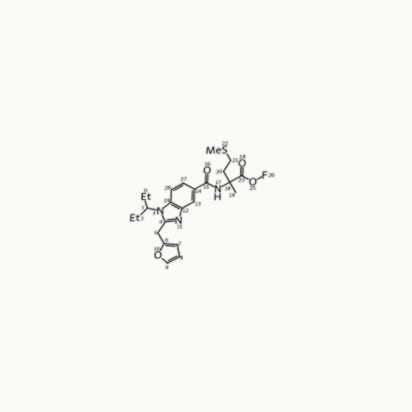 CCC(CC)n1c(Cc2ccco2)nc2cc(C(=O)NC(C)(CCSC)C(=O)OF)ccc21